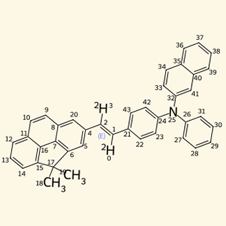 [2H]/C(=C(/[2H])c1cc2c3c(ccc4cccc(c43)C2(C)C)c1)c1ccc(N(c2ccccc2)c2ccc3ccccc3c2)cc1